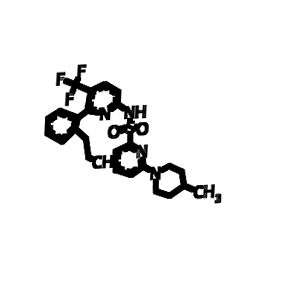 CCCc1ccccc1-c1nc(NS(=O)(=O)c2cccc(N3CCC(C)CC3)n2)ccc1C(F)(F)F